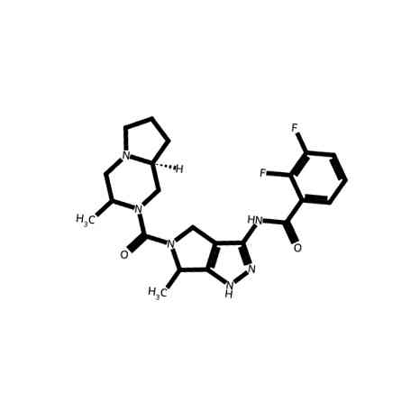 CC1CN2CCC[C@H]2CN1C(=O)N1Cc2c(NC(=O)c3cccc(F)c3F)n[nH]c2C1C